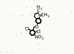 CC1CCc2cc(OCc3c(Cl)ccc([N+](=O)[O-])c3Cl)ccc2N1C